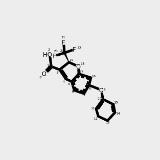 O=C(O)C1=Cc2ccc(OC3=CCCC=C3)cc2O[C@@H]1C(F)(F)F